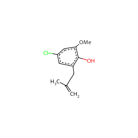 C=C(C)Cc1cc(Cl)cc(OC)c1O